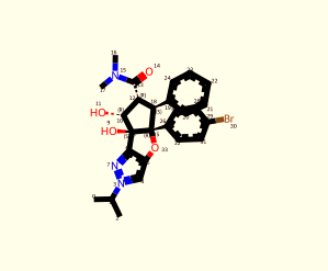 CC(C)n1cc2c(n1)[C@]1(O)[C@H](O)[C@H](C(=O)N(C)C)[C@@H](c3ccccc3)[C@]1(c1ccc(Br)cc1)O2